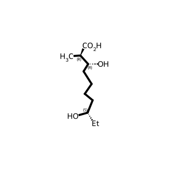 CC[C@H](O)CCCC[C@@H](O)[C@@H](C)C(=O)O